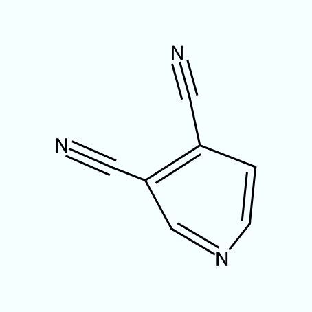 N#Cc1ccncc1C#N